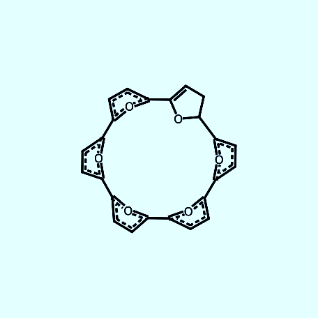 C1=C2OC(C1)c1ccc(o1)-c1ccc(o1)-c1ccc(o1)-c1ccc(o1)-c1ccc2o1